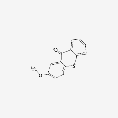 CCOc1ccc2sc3ccccc3c(=O)c2c1